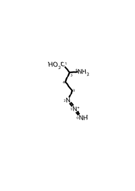 N=[N+]=NCCC(N)C(=O)O